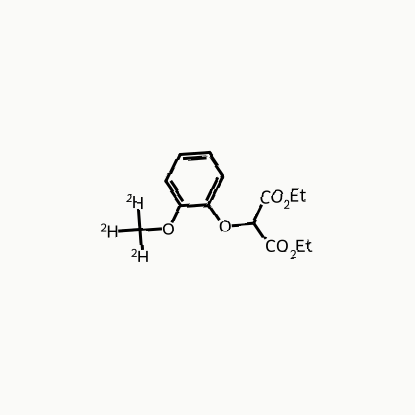 [2H]C([2H])([2H])Oc1ccccc1OC(C(=O)OCC)C(=O)OCC